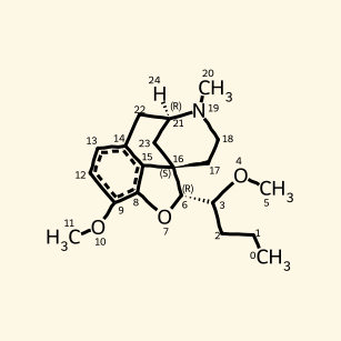 CCCC(OC)[C@@H]1Oc2c(OC)ccc3c2[C@@]12CCN(C)[C@H](C3)C2